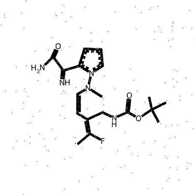 C/C(F)=C(\C=C/N(C)n1cccc1C(=N)C(N)=O)CNC(=O)OC(C)(C)C